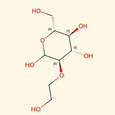 OCCO[C@H]1C(O)O[C@H](CO)[C@@H](O)[C@@H]1O